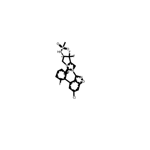 CS(=O)(=O)N[C@@H]1Cn2c(cn(-c3noc4cc(Cl)cc(-c5c(F)cccc5F)c34)c2=O)C1(F)F